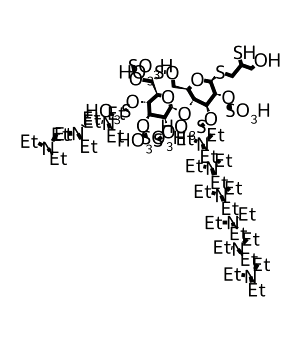 CCN(CC)CC.CCN(CC)CC.CCN(CC)CC.CCN(CC)CC.CCN(CC)CC.CCN(CC)CC.CCN(CC)CC.CCN(CC)CC.CCN(CC)CC.O=S(=O)(O)OC[C@H]1O[C@@H](SCC(S)CO)[C@H](OS(=O)(=O)O)[C@@H](OS(=O)(=O)O)[C@@H]1O[C@H]1O[C@H](COS(=O)(=O)O)[C@@H](OS(=O)(=O)O)[C@H](OS(=O)(=O)O)[C@H]1OS(=O)(=O)O